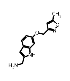 Cc1cc(COc2ccc3cc(CN)[nH]c3c2)no1